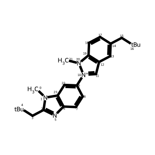 Cn1c(CC(C)(C)C)nc2ccc(-[n+]3cc4cc(CC(C)(C)C)ccc4n3C)cc21